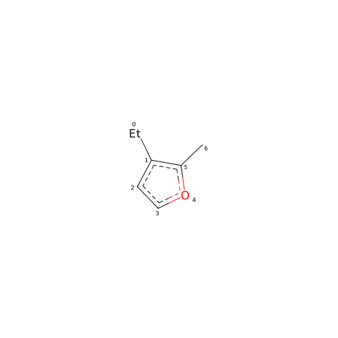 CCc1ccoc1C